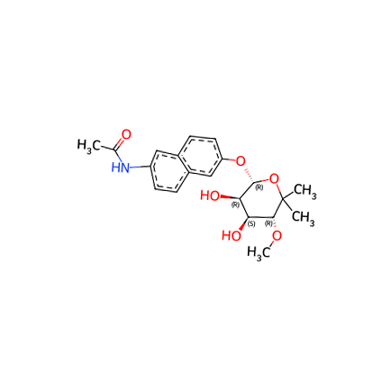 CO[C@@H]1[C@@H](O)[C@@H](O)[C@H](Oc2ccc3cc(NC(C)=O)ccc3c2)OC1(C)C